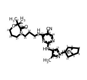 Cc1nn(C2CC3CCC(C2)N3C)cc1Nc1ncc(C#N)c(NCCCN2CCCOC(C)(C)C2=O)n1